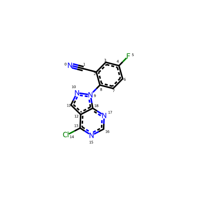 N#Cc1cc(F)ccc1-n1ncc2c(Cl)ncnc21